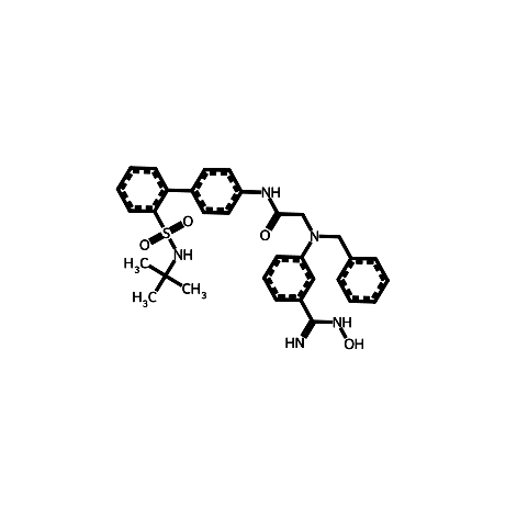 CC(C)(C)NS(=O)(=O)c1ccccc1-c1ccc(NC(=O)CN(Cc2ccccc2)c2cccc(C(=N)NO)c2)cc1